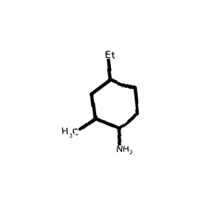 CCC1CCC(N)C(C)C1